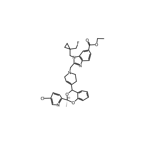 CCOC(=O)c1ccc2nc(CN3CC=C(C4O[C@](C)(c5ccc(Cl)cn5)Oc5ccccc54)CC3)n(CC3(CF)CC3)c2c1